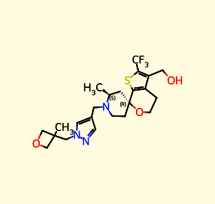 C[C@H]1C[C@@]2(CCN1Cc1cnn(CC3(C)COC3)c1)OCCc1c2sc(C(F)(F)F)c1CO